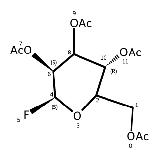 CC(=O)OCC1O[C@@H](F)[C@@H](OC(C)=O)C(OC(C)=O)[C@@H]1OC(C)=O